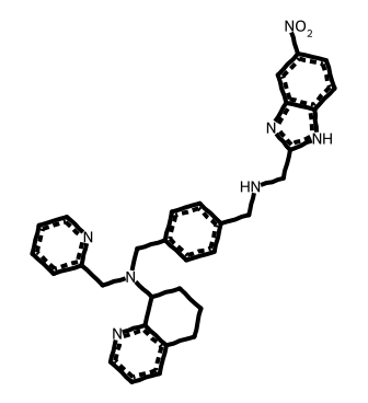 O=[N+]([O-])c1ccc2[nH]c(CNCc3ccc(CN(Cc4ccccn4)C4CCCc5cccnc54)cc3)nc2c1